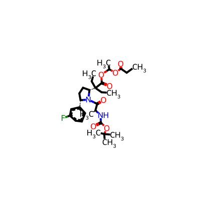 CCC(=O)OC(C)OC(=O)C(CC)(CC)[C@H]1CC[C@@H](c2cccc(F)c2)N1C(=O)[C@@H](C)NC(=O)OC(C)(C)C